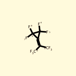 FC(F)(F)C(=C1C(F)(F)C1(F)F)C(F)(F)F